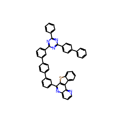 c1ccc(-c2ccc(-c3nc(-c4ccccc4)nc(-c4cccc(-c5ccc(-c6cccc(-c7nc8cccnc8c8c7sc7ccccc78)c6)cc5)c4)n3)cc2)cc1